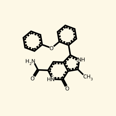 Cc1[nH]c(-c2ccccc2Oc2ccccc2)c2cc(C(N)=O)[nH]c(=O)c12